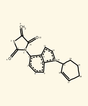 C=C1SC(=O)N(c2cccc3c2ccn3C2C=CCCC2)C1=O